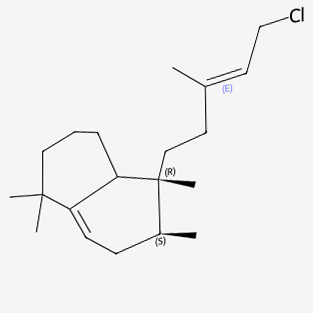 C/C(=C\CCl)CC[C@@]1(C)C2CCCC(C)(C)C2=CC[C@@H]1C